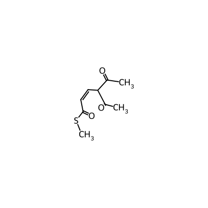 CSC(=O)/C=C\C(C(C)=O)C(C)=O